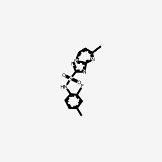 Cc1ccc(NS(=O)(=O)c2nc3nc(C)ccn3n2)c(F)c1